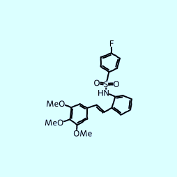 COc1cc(C=Cc2ccccc2NS(=O)(=O)c2ccc(F)cc2)cc(OC)c1OC